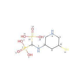 O=P(O)(O)C(NC1CNCC(S)C1)P(=O)(O)O